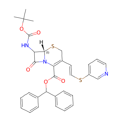 CC(C)(C)OC(=O)NC1C(=O)N2C(C(=O)OC(c3ccccc3)c3ccccc3)=C(C=CSc3cccnc3)CS[C@@H]12